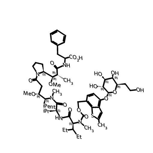 CCCC(C)[C@@H]([C@@H](CC(=O)N1CCC[C@H]1[C@H](OC)[C@@H](C)C(=O)NC(Cc1ccccc1)C(=O)O)OC)N(C)C(=O)[C@@H](NC(=O)[C@H](C(CC)CC)N(C)C(=O)OCc1ccc(O[C@@H]2O[C@H](CCO)[C@H](O)[C@H](O)[C@H]2O)c2cc(C)sc12)C(C)C